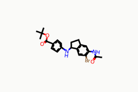 CC(=O)Nc1cc2c(cc1Br)C(Nc1ccc(C(=O)OC(C)(C)C)cc1)CC2